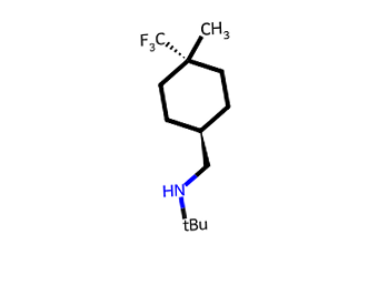 CC(C)(C)NC[C@H]1CC[C@](C)(C(F)(F)F)CC1